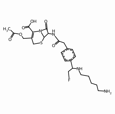 CC(=O)OCC1=C(C(=O)O)N2C(=O)C(NC(=O)Cc3ccc(C(CF)NCCCCCN)cc3)C2SC1